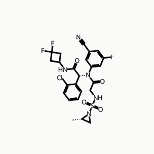 C[C@H]1CN1S(=O)(=O)NCC(=O)N(c1cc(F)cc(C#N)c1)[C@@H](C(=O)NC1CC(F)(F)C1)c1ccccc1Cl